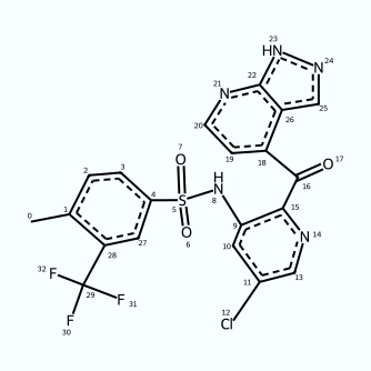 Cc1ccc(S(=O)(=O)Nc2cc(Cl)cnc2C(=O)c2ccnc3[nH]ncc23)cc1C(F)(F)F